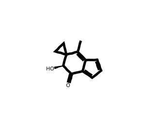 CC1=C2C=CC=C2C(=O)[C@@H](O)C12CC2